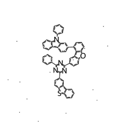 c1ccc(-c2nc(-c3ccc4sc5ccccc5c4c3)nc(-c3ccc4oc5cccc(-c6ccc7c8ccccc8n(-c8ccccc8)c7c6)c5c4c3)n2)cc1